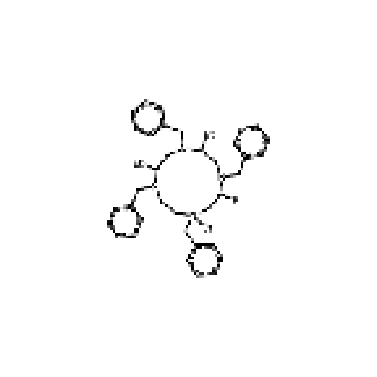 CCC1CN(Cc2ccccc2)C(CC)CN(Cc2ccccc2)C(CC)C[N+](CC)(Cc2ccccc2)CCN1Cc1ccccc1